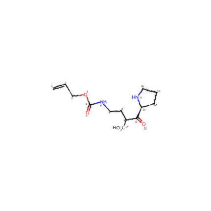 C=CCOC(=O)NCCC(C(=O)O)C(=O)[C@@H]1CCCN1